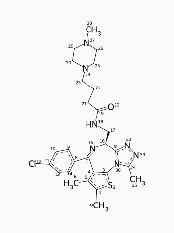 Cc1sc2c(c1C)C(c1ccc(Cl)cc1)=N[C@@H](CNC(=O)CCCN1CCN(C)CC1)c1nnc(C)n1-2